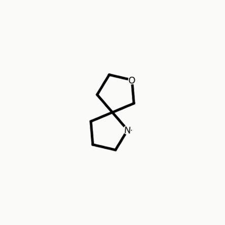 C1C[N]C2(C1)CCOC2